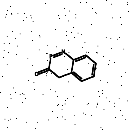 O=C1Cc2ccccc2N=P1